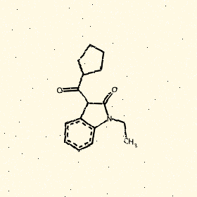 CCN1C(=O)C(C(=O)C2CCCC2)c2ccccc21